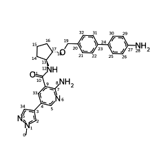 Cn1cc(-c2cnc(N)c(C(=O)N[C@H]3CCC[C@@H]3OCc3ccc(-c4ccc(N)cc4)cc3)c2)cn1